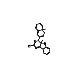 CC12C=CC=CC1=CC(C1N=C(Cl)N=C3c4ccccc4SC31C)=CC2